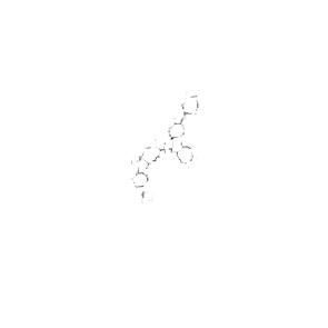 Brc1ccc2oc3ccc(-n4c5ccccc5c5cc(-c6ccccc6)ccc54)cc3c2c1